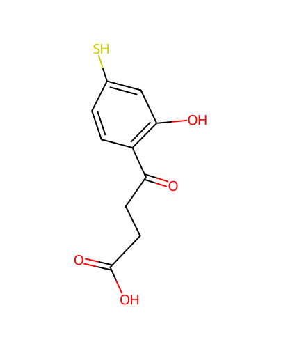 O=C(O)CCC(=O)c1ccc(S)cc1O